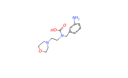 Nc1cccc(CN(CCN2CCOCC2)C(=O)O)c1